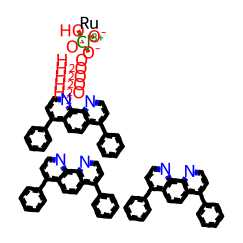 O.O.O.O.O.[O-][Cl+3]([O-])([O-])O.[Ru].c1ccc(-c2ccnc3c2ccc2c(-c4ccccc4)ccnc23)cc1.c1ccc(-c2ccnc3c2ccc2c(-c4ccccc4)ccnc23)cc1.c1ccc(-c2ccnc3c2ccc2c(-c4ccccc4)ccnc23)cc1